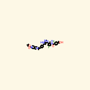 Cc1c(NC(=O)c2ccc(C(C)(C)O)cc2F)cc(F)cc1-c1ncnc2[nH]c(-c3ccc(CC(C)(C)N4CCC5(CCN(C(=O)OC(C)(C)C)CC5)CC4)cc3)cc12